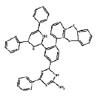 NC1=NC(c2ccccc2)=NC(c2ccc(-c3cccc4c3Sc3ccccc3S4)c(C3NC(c4ccccc4)=CC(c4ccccc4)N3)c2)N1